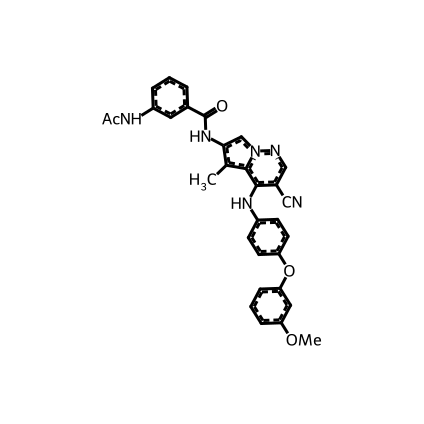 COc1cccc(Oc2ccc(Nc3c(C#N)cnn4cc(NC(=O)c5cccc(NC(C)=O)c5)c(C)c34)cc2)c1